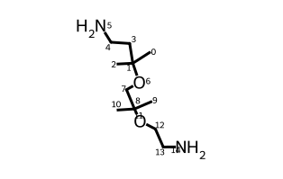 CC(C)(CCN)OCC(C)(C)OCCN